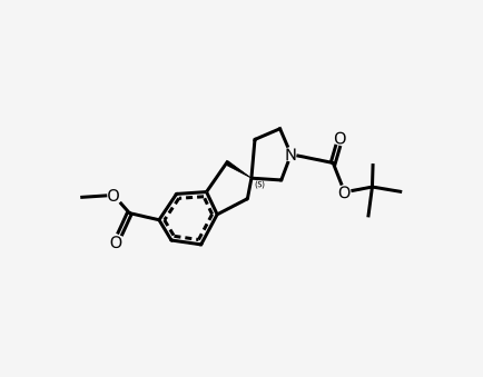 COC(=O)c1ccc2c(c1)C[C@]1(CCN(C(=O)OC(C)(C)C)C1)C2